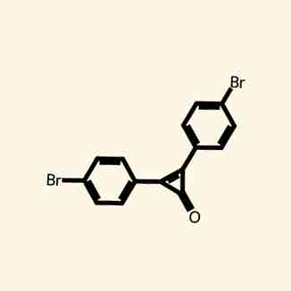 O=c1c(-c2ccc(Br)cc2)c1-c1ccc(Br)cc1